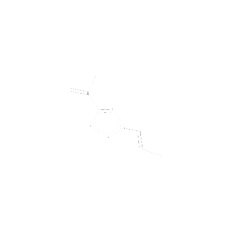 C=C(C)c1ccc(/C=C/C)o1